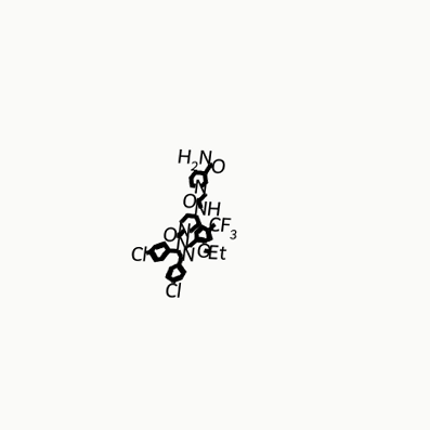 CCOc1cc(C(F)(F)F)ccc1C1=NC(c2ccc(Cl)cc2)C(c2ccc(Cl)cc2)N1C(=O)N1CCC(NC(=O)CN2CCCC(C(N)=O)C2)CC1